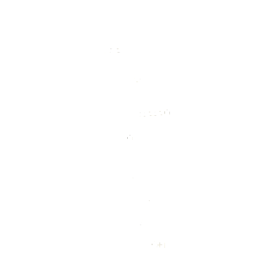 O=C(COc1ccccc1)OCCCCO